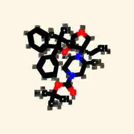 CC[C@@]1(N2CCN(C(=O)OC(C)(C)C)C[C@@H]2C)COC[C@@H]1O[Si](c1ccccc1)(c1ccccc1)C(C)(C)C